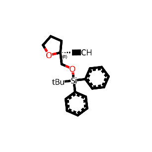 C#C[C@@]1(CO[Si](c2ccccc2)(c2ccccc2)C(C)(C)C)CCCO1